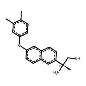 Cc1ccc(Oc2ccc3cc([C@@](C)(N)CO)ccc3c2)cc1C